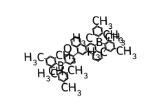 Cc1cc(C)c(B(c2ccc3c(c2)Oc2cccc4c2c-3cc2c3ccccc3c(B(c3c(C)cc(C)cc3C)c3c(C)cc(C)cc3C)cc42)c2c(C)cc(C)cc2C)c(C)c1